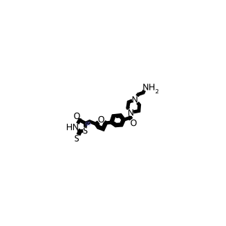 NCCN1CCN(C(=O)c2ccc(-c3ccc(/C=C4\SC(=S)NC4=O)o3)cc2)CC1